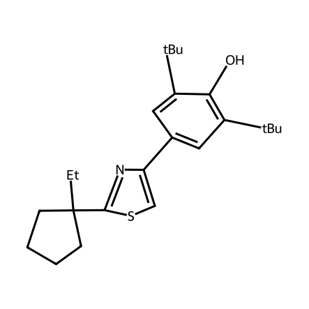 CCC1(c2nc(-c3cc(C(C)(C)C)c(O)c(C(C)(C)C)c3)cs2)CCCC1